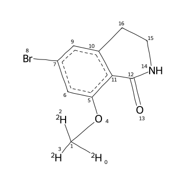 [2H]C([2H])([2H])Oc1cc(Br)cc2c1C(=O)NCC2